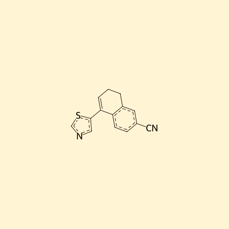 N#Cc1ccc2c(c1)CCC=C2c1cncs1